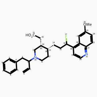 C=CC(Cc1ccccc1)N1CC[C@@H](CCC(F)c2ccnc3ccc(OC)cc23)[C@@H](CC(=O)O)C1